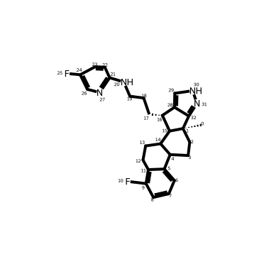 C[C@]12CCC3c4cccc(F)c4CCC3C1[C@H](CCCNc1ccc(F)cn1)c1c[nH]nc12